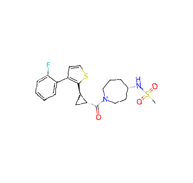 CS(=O)(=O)N[C@H]1CCCN(C(=O)[C@@H]2C[C@H]2c2sccc2-c2ccccc2F)CC1